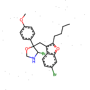 CCCCc1oc2cc(Br)ccc2c1CC1(c2ccc(OC)cc2)OCNC1Br